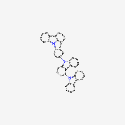 c1ccc2c(c1)c1ccccc1n2-c1cccc2c1c1ccccc1n2-c1ccc2c(c1)c1cccc3c4ccccc4n2c31